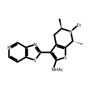 CCN1[C@H](C)Cc2c(sc(NC(C)=O)c2-c2nc3cnccc3s2)[C@H]1C